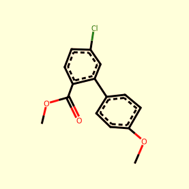 COC(=O)c1ccc(Cl)cc1-c1ccc(OC)cc1